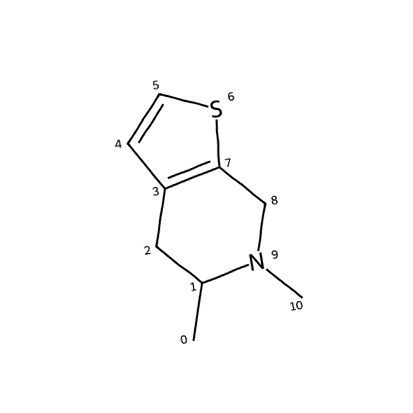 CC1Cc2ccsc2CN1C